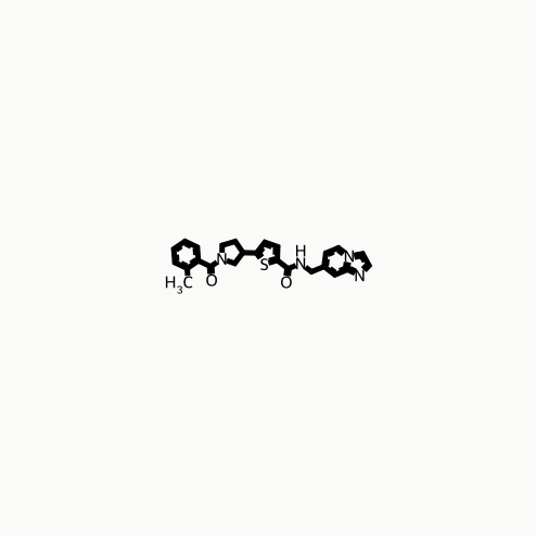 Cc1ccccc1C(=O)N1CCC(c2ccc(C(=O)NCc3ccn4ccnc4c3)s2)C1